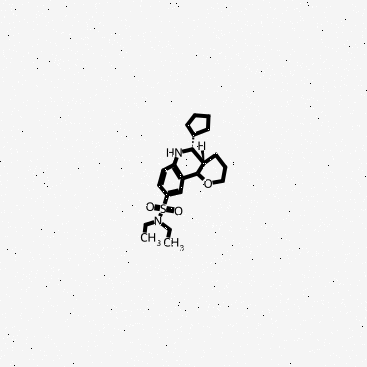 CCN(CC)S(=O)(=O)c1ccc2c(c1)C1OCCC[C@H]1[C@@H](C1CCCC1)N2